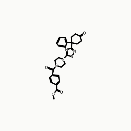 COC(=O)c1ccc(C(=O)N2CCN(c3nc(C4(c5ccccc5)CCC(=O)CC4)ns3)CC2)cc1